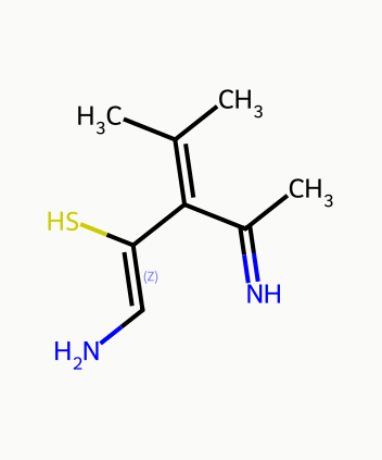 CC(=N)C(=C(C)C)/C(S)=C/N